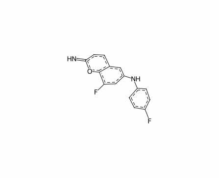 N=c1ccc2cc(Nc3ccc(F)cc3)cc(F)c2o1